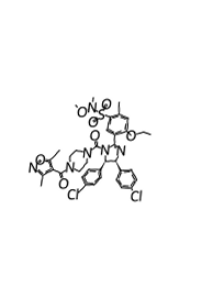 CCOc1cc(C)c(S(=O)(=O)N(C)OC)cc1C1=N[C@@H](c2ccc(Cl)cc2)[C@@H](c2ccc(Cl)cc2)N1C(=O)N1CCN(C(=O)c2c(C)noc2C)CC1